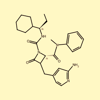 CC[C@@H](NC(=O)N1C(=O)C(Cc2ccnc(N)c2)[C@H]1C(=O)N(C)c1ccccc1)C1CCCCC1